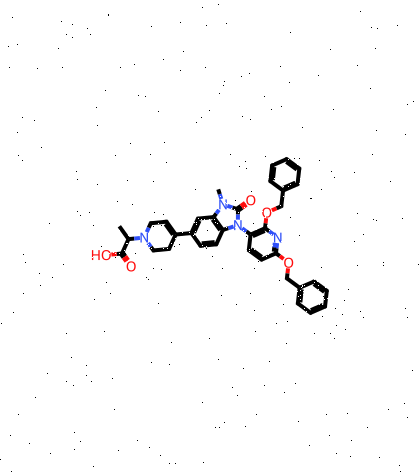 CC(C(=O)O)N1CC=C(c2ccc3c(c2)n(C)c(=O)n3-c2ccc(OCc3ccccc3)nc2OCc2ccccc2)CC1